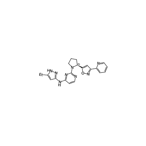 CCc1cc(Nc2ccnc(N3CCC[C@H]3c3cc(-c4ccccn4)no3)n2)n[nH]1